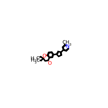 CCC1(CC)CC(=O)c2cc(C3=CC(c4ccnc(C)c4)=CC3)ccc2O1